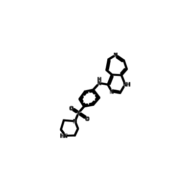 O=S(=O)(c1ccc(NC2=C3C=CN=CC=C3NC=N2)cc1)N1CCNCC1